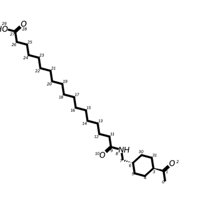 CC(=O)[C@H]1CC[C@H](CNC(=O)CCCCCCCCCCCCCCCCC(=O)O)CC1